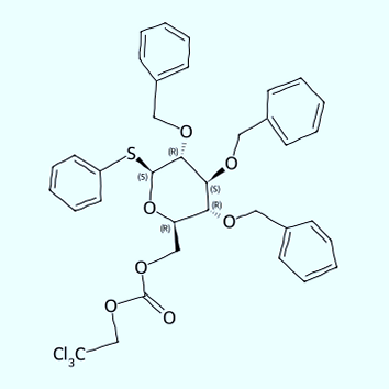 O=C(OC[C@H]1O[C@@H](Sc2ccccc2)[C@H](OCc2ccccc2)[C@@H](OCc2ccccc2)[C@@H]1OCc1ccccc1)OCC(Cl)(Cl)Cl